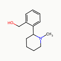 CN1CCCCC1c1ccccc1CO